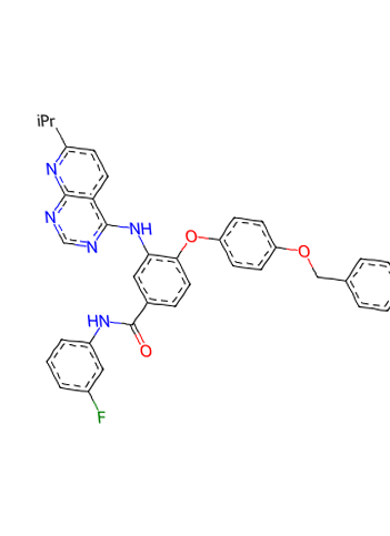 CC(C)c1ccc2c(Nc3cc(C(=O)Nc4cccc(F)c4)ccc3Oc3ccc(OCc4ccccc4)cc3)ncnc2n1